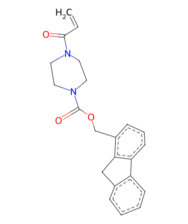 C=CC(=O)N1CCN(C(=O)OCc2cccc3c2Cc2ccccc2-3)CC1